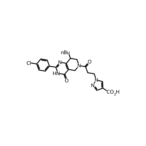 CCCCC1CN(C(=O)CCn2cc(C(=O)O)cn2)Cc2c1nc(-c1ccc(Cl)cc1)[nH]c2=O